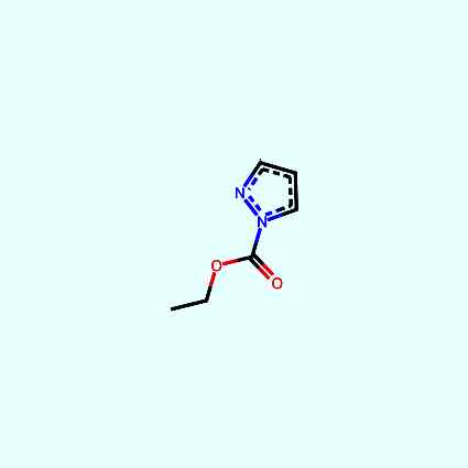 CCOC(=O)n1cc[c]n1